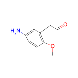 COc1ccc(N)cc1CC=O